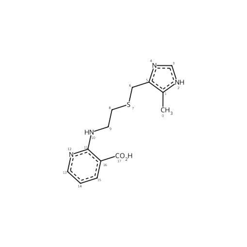 Cc1[nH]cnc1CSCCNc1ncccc1C(=O)O